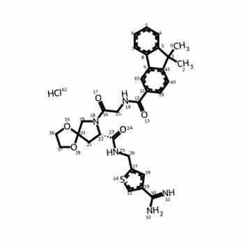 CC1(C)c2ccccc2-c2cc(C(=O)NCC(=O)N3CC4(C[C@H]3C(=O)NCc3cc(C(=N)N)cs3)OCCO4)ccc21.Cl